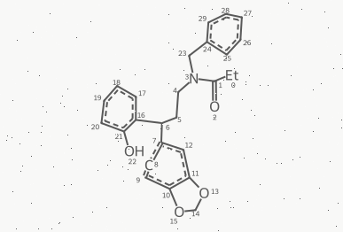 CCC(=O)N(CCC(c1ccc2c(c1)OCO2)c1ccccc1O)Cc1ccccc1